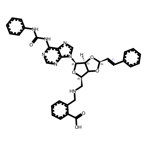 O=C(Nc1ccccc1)Nc1ncnc2c1ncn2[C@@H]1O[C@H](CNCc2ccccc2C(=O)O)C2O[C@H](/C=C/c3ccccc3)O[C@@H]21